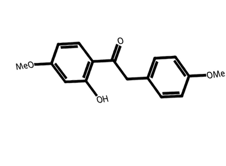 COc1ccc(CC(=O)c2ccc(OC)cc2O)cc1